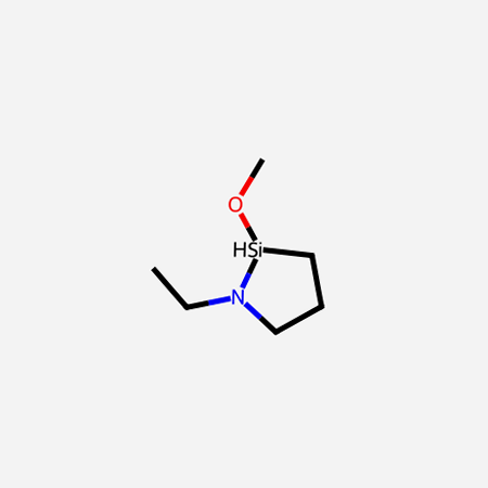 CCN1CCC[SiH]1OC